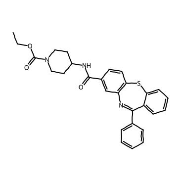 CCOC(=O)N1CCC(NC(=O)c2ccc3c(c2)N=C(c2ccccc2)c2ccccc2S3)CC1